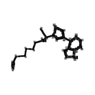 CC(NCCCCCC#N)n1cc(-c2ncnc3[nH]ccc23)cn1